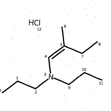 CCCN(C=C(C)CC)CCC.Cl